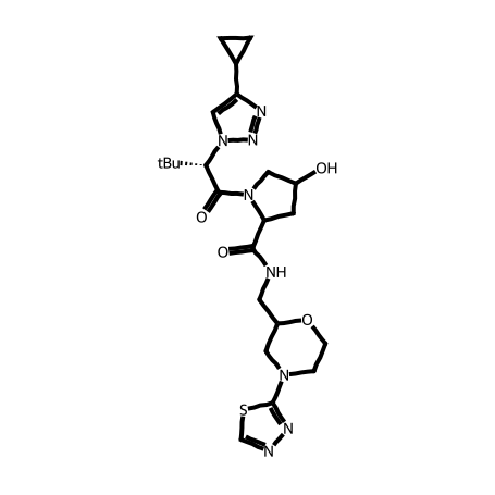 CC(C)(C)[C@@H](C(=O)N1CC(O)CC1C(=O)NCC1CN(c2nncs2)CCO1)n1cc(C2CC2)nn1